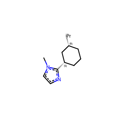 CC(C)[C@@H]1CCC[C@H](c2nccn2C)C1